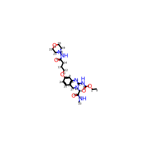 CCOC(=O)NC1=Nc2cc(OCCCC(=O)NN3CCOCC3)ccc2CN1CC(=O)NC